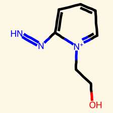 N=Nc1cccc[n+]1CCO